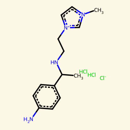 CC(NCC[n+]1ccn(C)c1)c1ccc(N)cc1.Cl.Cl.[Cl-]